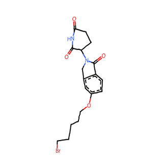 O=C1CCC(N2Cc3cc(OCCCCCBr)ccc3C2=O)C(=O)N1